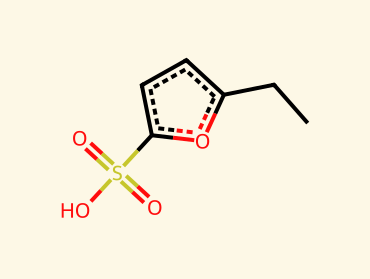 CCc1ccc(S(=O)(=O)O)o1